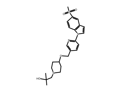 CC(C)(O)CN1CCC(OCc2ccc(-n3ccc4cc(S(C)(=O)=O)ccc43)nc2)CC1